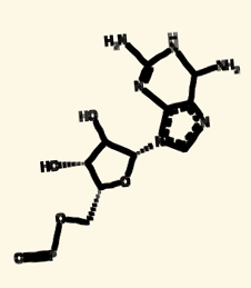 NC1=Nc2c(ncn2[C@@H]2O[C@H](COP=O)[C@H](O)C2O)C(N)N1